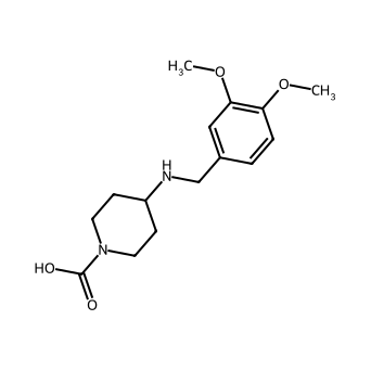 COc1ccc(CNC2CCN(C(=O)O)CC2)cc1OC